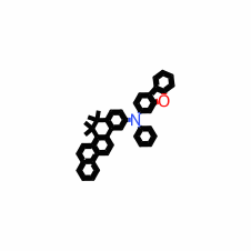 CC1(C)c2ccc(N(c3ccccc3)c3ccc4c(c3)oc3ccccc34)cc2-c2ccc3c(ccc4ccccc43)c2C1(C)C